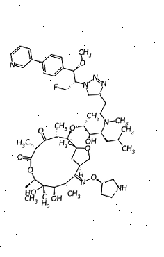 CC[C@H]1OC(=O)[C@H](C)C(=O)[C@H](C)[C@@H](O[C@H](C)[C@H](O)[C@H](CC(C)C)N(C)CCC2CN([C@H](CF)[C@H](OC)c3ccc(-c4cccnc4)cc3)N=N2)[C@@]2(C)C[C@@H](CO2)/C(=N\O[C@@H]2CCNC2)[C@H](C)[C@@H](O)[C@]1(C)O